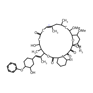 CCC1CCCC2C(=O)OC(C(C)=CC3CCC(Oc4ccccc4)C(O)C3)C(C)C(O)CC(=O)C/C=C(\C)CC(C)CC(OC)C3OC(O)(C(=O)C(=O)N12)C(C)CC3OC